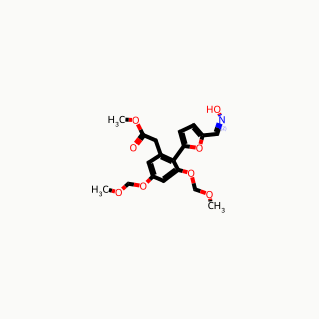 COCOc1cc(CC(=O)OC)c(-c2ccc(/C=N\O)o2)c(OCOC)c1